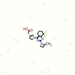 C[C@H]1CCN1c1nc(N2CC[C@H](CC(=O)O)C2)c2c(n1)C(F)(F)CCC2